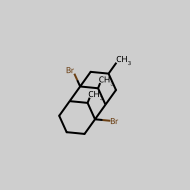 CC1CC2C(C)C(Br)(C1)C1CCCC2(Br)C1C